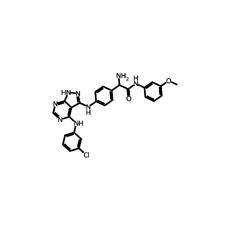 COc1cccc(NC(=O)C(N)c2ccc(Nc3n[nH]c4ncnc(Nc5cccc(Cl)c5)c34)cc2)c1